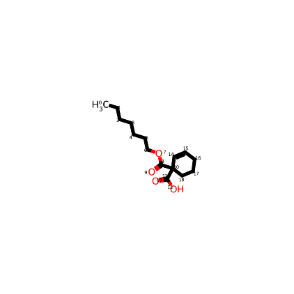 CCCCCCCOC(=O)C1(C(=O)O)C=CCCC1